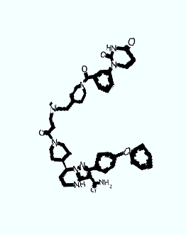 CN(CCC(=O)N1CCC([C@@H]2CCNc3c(C(N)=O)c(-c4ccc(Oc5ccccc5)cc4)nn32)CC1)CC1CCN(C(=O)c2cccc(N3CCC(=O)NC3=O)c2)CC1